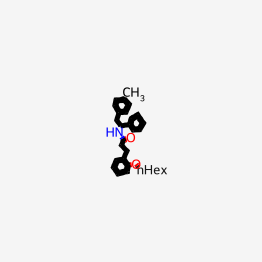 CCCCCCOc1ccccc1CCC(=O)NC(Cc1ccc(C)cc1)c1ccccc1